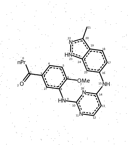 CCCC(=O)c1ccc(OC)c(Nc2nccc(Nc3ccc4c(C)n[nH]c4c3)n2)c1